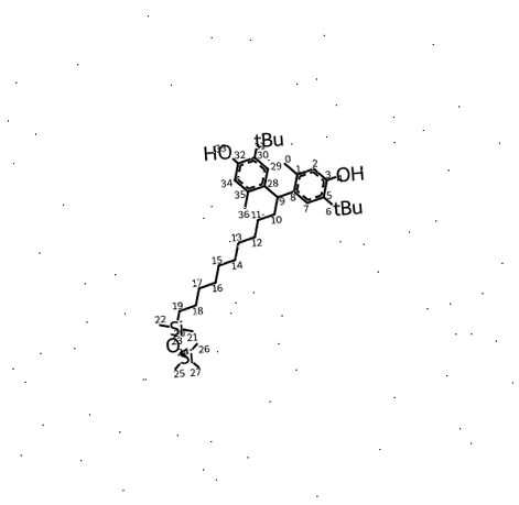 Cc1cc(O)c(C(C)(C)C)cc1C(CCCCCCCCCC[Si](C)(C)O[Si](C)(C)C)c1cc(C(C)(C)C)c(O)cc1C